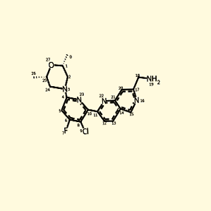 C[C@@H]1CN(c2cc(F)c(Cl)c(-c3ccc4cnc(CN)cc4n3)n2)C[C@H](C)O1